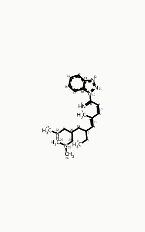 CCC(/C=C(C)/C=C\C(=N)n1nnc2ccccc21)CC(CNC)CN(C)C